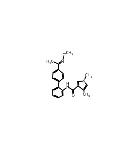 CO/N=C(\C)c1ccc(-c2ccccc2NC(=O)c2cn(C)cc2C)cc1